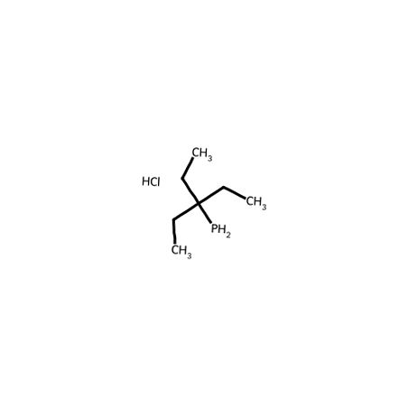 CCC(P)(CC)CC.Cl